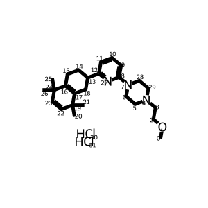 COCCN1CCN(c2cccc(C3CCC4=C(C3)C(C)(C)C=CC4(C)C)n2)CC1.Cl.Cl